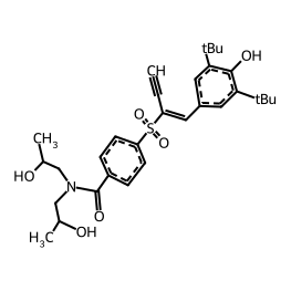 C#C/C(=C\c1cc(C(C)(C)C)c(O)c(C(C)(C)C)c1)S(=O)(=O)c1ccc(C(=O)N(CC(C)O)CC(C)O)cc1